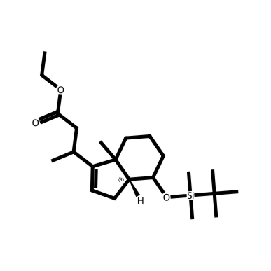 CCOC(=O)CC(C)C1=CC[C@H]2C(O[Si](C)(C)C(C)(C)C)CCCC12C